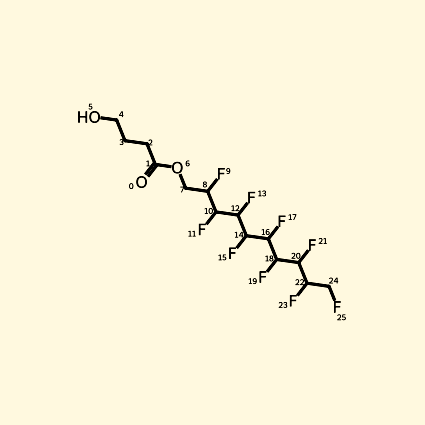 O=C(CCCO)OCC(F)C(F)C(F)C(F)C(F)C(F)C(F)C(F)CF